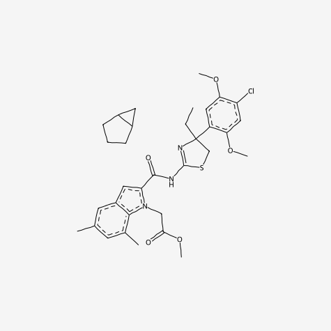 C1CC2CC2C1.CCC1(c2cc(OC)c(Cl)cc2OC)CSC(NC(=O)c2cc3cc(C)cc(C)c3n2CC(=O)OC)=N1